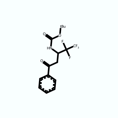 CC(C)(C)OC(=O)NC(CC(=O)c1ccccc1)C(F)(F)C(F)(F)F